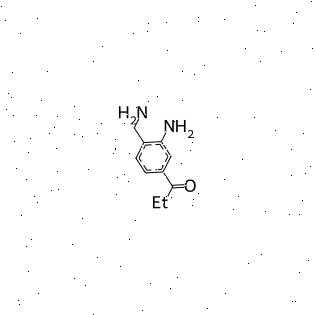 CCC(=O)c1ccc(CN)c(N)c1